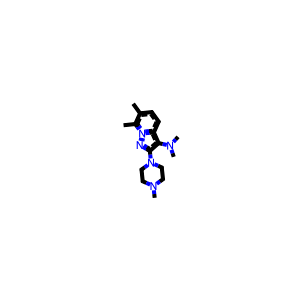 Cc1ccc2c(N(C)C)c(N3CCN(C)CC3)nn2c1C